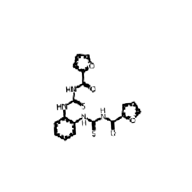 O=C(NC(=S)Nc1ccccc1NC(=S)NC(=O)c1ccco1)c1ccco1